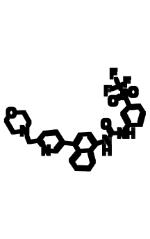 O=C(Nc1cccc(S(=O)(=O)C(F)(F)F)c1)Nc1ccc(-c2ccc(CN3CCOCC3)nc2)c2ccccc12